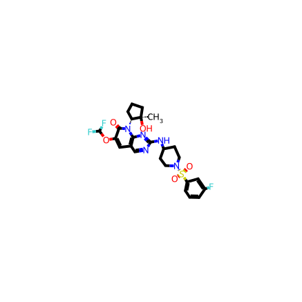 C[C@@]1(O)CCC[C@H]1n1c(=O)c(OC(F)F)cc2cnc(NC3CCN(S(=O)(=O)c4cccc(F)c4)CC3)nc21